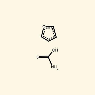 NC(O)=S.c1ccoc1